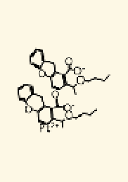 CCCCOC(C)c1ccc2c(c1C(=O)[O-])Cc1ccccc1O2.CCCCOC(C)c1ccc2c(c1C(=O)[O-])Cc1ccccc1O2.[Pt+2]